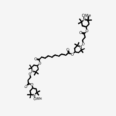 CON1C(C)(C)CC(OC(=O)CCON2C(C)(C)CC(OC(=O)CCCCCCCCC(=O)OC3CC(C)(C)N(OCCC(=O)OC4CC(C)(C)N(OC)C(C)(C)C4)C(C)(C)C3)CC2(C)C)CC1(C)C